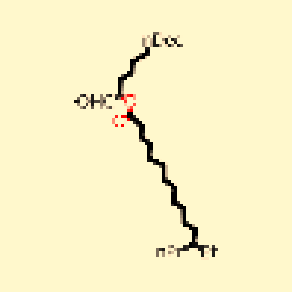 CCCCCCCCCCCCCCC([C]=O)OC(=O)CCCCCCCCCCCC(CC)CCC